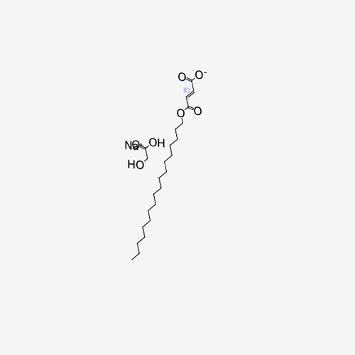 CCCCCCCCCCCCCCCCCCOC(=O)/C=C/C(=O)[O-].O=C(O)CO.[Na+]